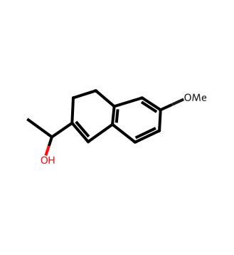 COc1ccc2c(c1)CCC(C(C)O)=C2